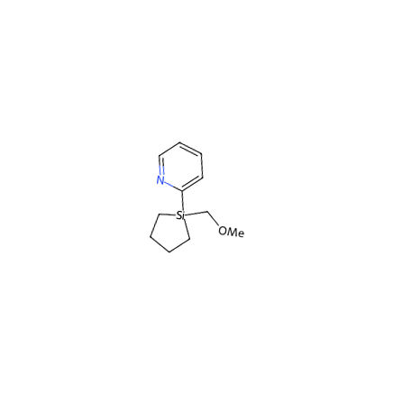 COC[Si]1(c2ccccn2)CCCC1